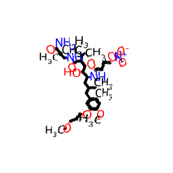 COCCCOc1cc(CC(CC(NC(=O)CCCO[N+](=O)[O-])C(O)CC(C(=O)NCC(C)(C)C(N)=O)C(C)C)C(C)C)ccc1OC